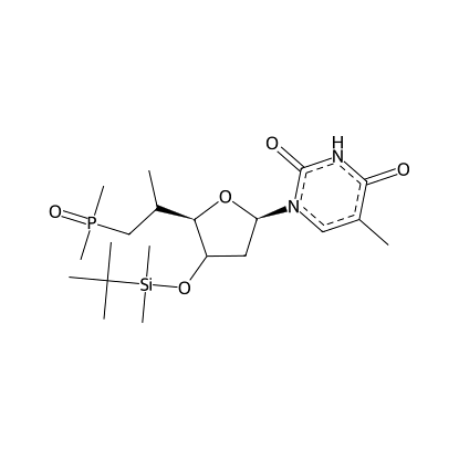 Cc1cn([C@H]2CC(O[Si](C)(C)C(C)(C)C)[C@@H](C(C)CP(C)(C)=O)O2)c(=O)[nH]c1=O